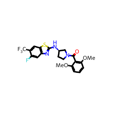 COc1cccc(OC)c1C(=O)N1CC[C@@H](Nc2nc3cc(F)c(C(F)(F)F)cc3s2)C1